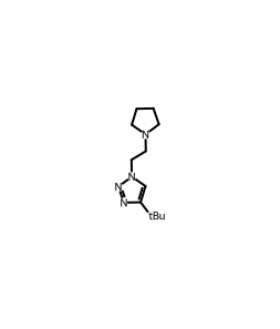 CC(C)(C)c1cn(CCN2CCCC2)nn1